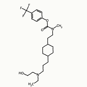 CCN(CCO)CCCC1CCC(CCN(C)C(=O)Oc2ccc(C(F)(F)F)cc2)CC1